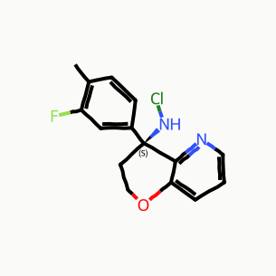 Cc1ccc([C@@]2(NCl)CCOc3cccnc32)cc1F